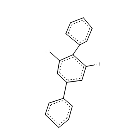 Clc1cc(-c2ccccc2)cc(Cl)c1-c1ccccc1